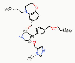 COCCCN1CCOc2ccc(CO[C@H]3CNC[C@@H](OCc4cncn4C)[C@@H]3c3ccc(COCCOC)cc3)cc21